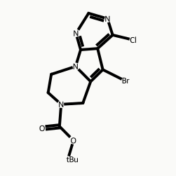 CC(C)(C)OC(=O)N1CCn2c(c(Br)c3c(Cl)ncnc32)C1